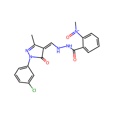 CC1=NN(c2cccc(Cl)c2)C(=O)/C1=C\NNC(=O)c1ccccc1[N+](C)=O